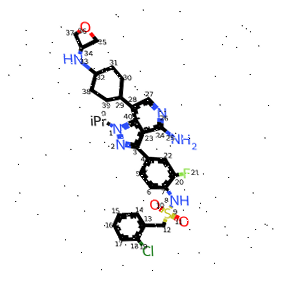 CC(C)n1nc(-c2ccc(NS(=O)(=O)Cc3ccccc3Cl)c(F)c2)c2c(N)ncc(C3CCC(NC4COC4)CC3)c21